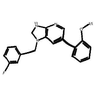 CCOc1ccccc1-c1cnc2c(c1)N(Cc1cccc(F)c1)CN2